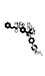 COc1cc(-c2cn([C@H]3CC[C@@H](N4CCN(C)CC4)CC3)c3ncnc(N)c23)ccc1NC(=O)CCc1ccccc1